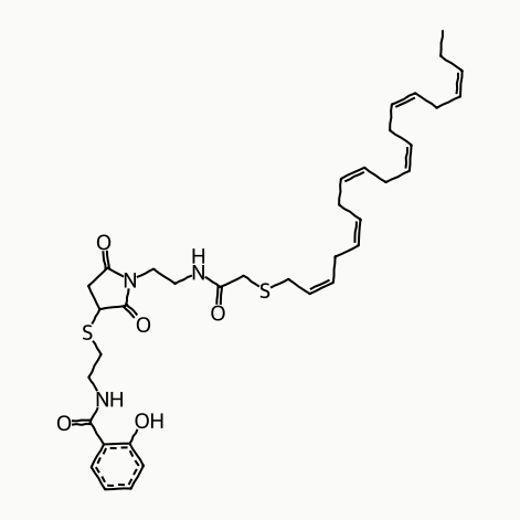 CC/C=C\C/C=C\C/C=C\C/C=C\C/C=C\C/C=C\CSCC(=O)NCCN1C(=O)CC(SCCNC(=O)c2ccccc2O)C1=O